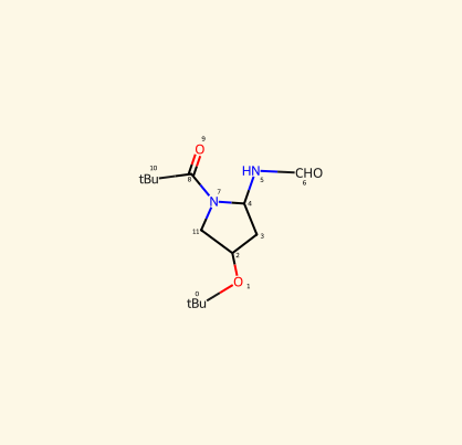 CC(C)(C)OC1CC(NC=O)N(C(=O)C(C)(C)C)C1